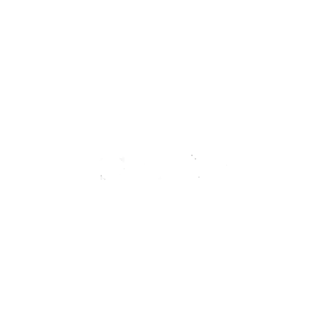 Nc1ccccc1NC(=O)c1cc2ccc(NC(=O)CN3CCOCC3)cc2s1